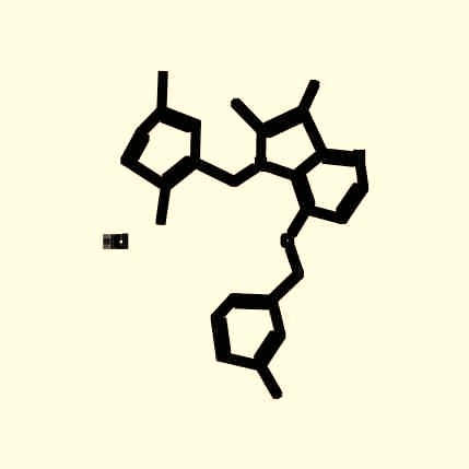 Cc1cccc(COc2ccnc3c(C)c(C)n(Cc4cc(C)ccc4C)c23)c1.Cl